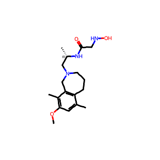 COc1cc(C)c2c(c1C)CN(C[C@H](C)NC(=O)CNO)CCC2